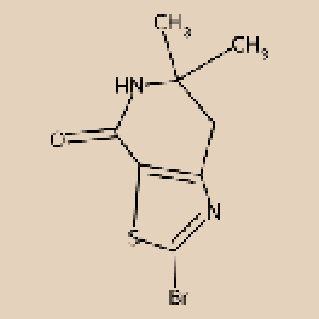 CC1(C)Cc2nc(Br)sc2C(=O)N1